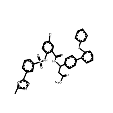 COC(=O)CC(NC(=O)c1cc(Cl)ccc1NS(=O)(=O)c1cccc(-c2nnc(C)o2)c1)c1ccc(-c2ccccc2Oc2ccccc2)cc1